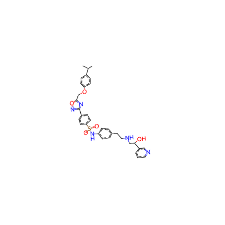 CC(C)c1ccc(OCc2nc(-c3ccc(S(=O)(=O)Nc4ccc(CCNCC(O)c5cccnc5)cc4)cc3)no2)cc1